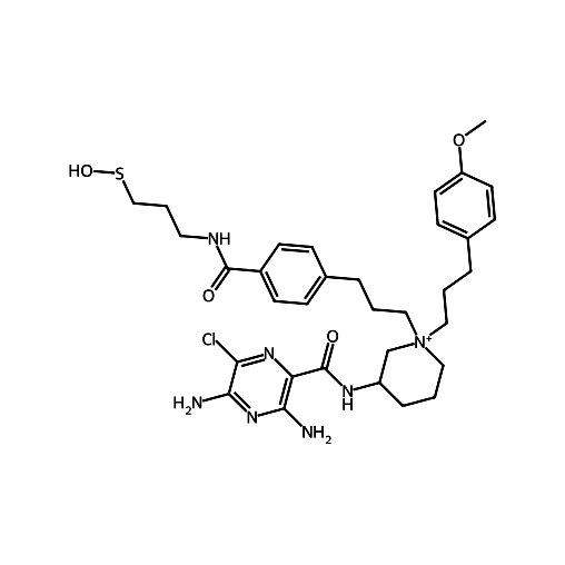 COc1ccc(CCC[N+]2(CCCc3ccc(C(=O)NCCCSO)cc3)CCCC(NC(=O)c3nc(Cl)c(N)nc3N)C2)cc1